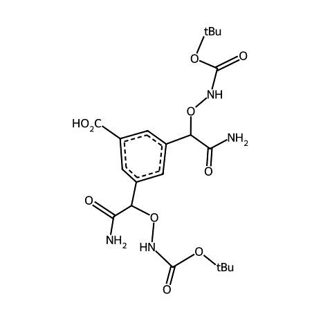 CC(C)(C)OC(=O)NOC(C(N)=O)c1cc(C(=O)O)cc(C(ONC(=O)OC(C)(C)C)C(N)=O)c1